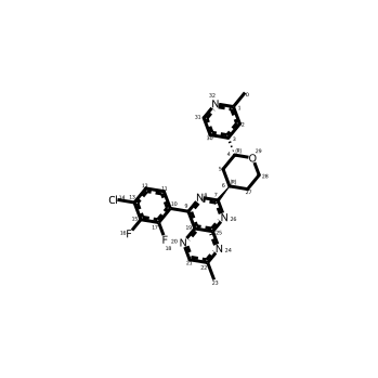 Cc1cc([C@H]2C[C@H](c3nc(-c4ccc(Cl)c(F)c4F)c4ncc(C)nc4n3)CCO2)ccn1